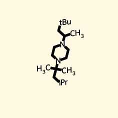 CC(C)CC(C)(C)N1CCN(C(C)CC(C)(C)C)CC1